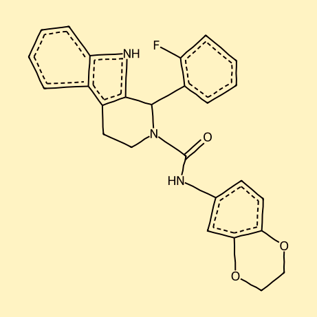 O=C(Nc1ccc2c(c1)OCCO2)N1CCc2c([nH]c3ccccc23)C1c1ccccc1F